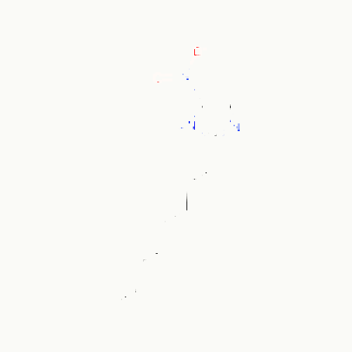 CCCCCCCCc1ncc([N+](=O)[O-])n1C